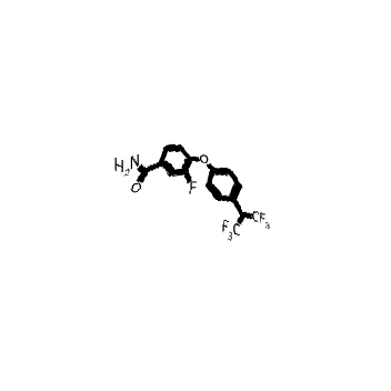 NC(=O)c1ccc(Oc2ccc(C(C(F)(F)F)C(F)(F)F)cc2)c(F)c1